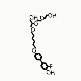 OCCOCCOC(CO)COCCCCCCOc1ccc(-c2ccc(O)c(F)c2)cc1